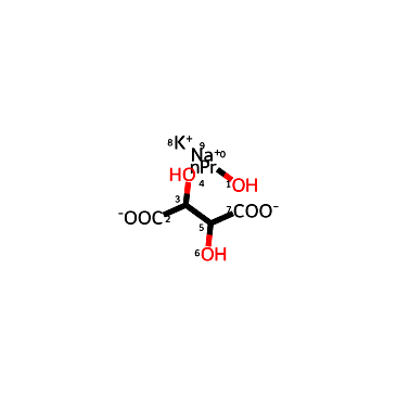 CCCO.O=C([O-])C(O)C(O)C(=O)[O-].[K+].[Na+]